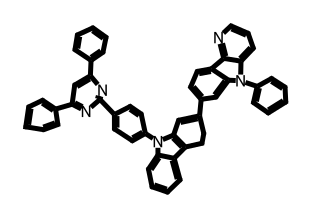 C1=C(c2ccc3c4ncccc4n(-c4ccccc4)c3c2)CCc2c1n(-c1ccc(-c3nc(-c4ccccc4)cc(-c4ccccc4)n3)cc1)c1ccccc21